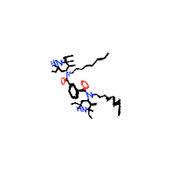 CCCCCCCCN(C(=O)c1cccc(C(=O)N(CCCCCCCC)C2CC(C)(CC)NC(C)(CC)C2C)c1)C1CC(C)(CC)NC(C)(CC)C1C